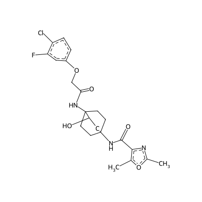 Cc1nc(C(=O)NC23CCC(NC(=O)COc4ccc(Cl)c(F)c4)(CC2)C(O)C3)c(C)o1